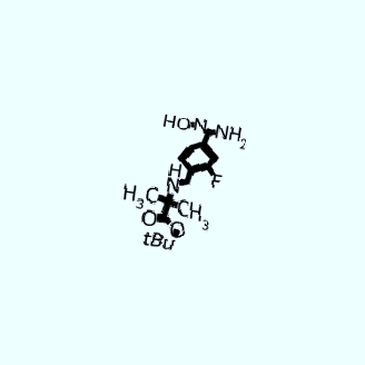 CC(C)(C)OC(=O)C(C)(C)NCc1ccc(/C(N)=N\O)cc1F